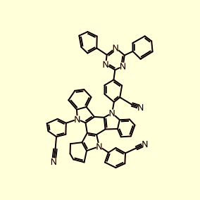 N#Cc1cccc(-n2c3c(c4c2c2c5ccccc5n(-c5ccc(-c6nc(-c7ccccc7)nc(-c7ccccc7)n6)cc5C#N)c2c2c5ccccc5n(-c5cccc(C#N)c5)c42)CCC=C3)c1